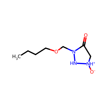 CCCCOCN1N[NH+]([O-])CC1=O